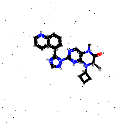 CC[C@@H]1C(=O)N(C)c2cnc(-n3ncnc3-c3cccc4ncccc34)nc2N1C1CCC1